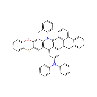 Cc1ccccc1N1B2c3cccc4c3C(Cc3ccccc3-4)c3cc(N(c4ccccc4)c4ccccc4)cc(c32)-c2cc3c(cc21)Oc1ccccc1S3